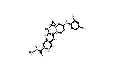 CN(C)C(=O)c1cc2nc(NC3CC3)c(N3CCC(Oc4ccc(F)cc4F)CC3)nc2cn1